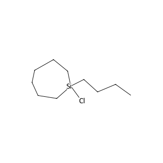 CCCC[Si]1(Cl)CCCCCC1